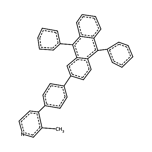 Cc1cnccc1-c1ccc(-c2ccc3c(-c4ccccc4)c4ccccc4c(-c4ccccc4)c3c2)cc1